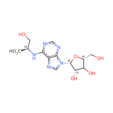 O=C(O)[C@@H](CO)Nc1ncnc2c1ncn2[C@@H]1O[C@H](CO)C(O)[C@@H]1O